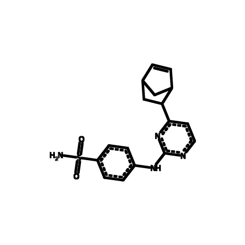 NS(=O)(=O)c1ccc(Nc2nccc(C3CC4C=CC3C4)n2)cc1